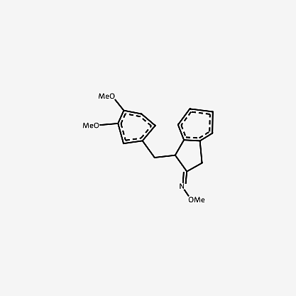 CO/N=C1\Cc2ccccc2C1Cc1ccc(OC)c(OC)c1